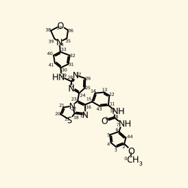 COc1cccc(NC(=O)Nc2cccc(-c3nc4sccn4c3-c3ccnc(Nc4ccc(N5CCOCC5)cc4)n3)c2)c1